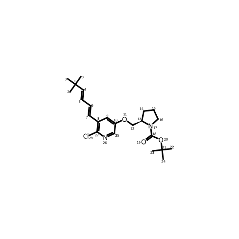 CC(C)(C)/C=C/C=C/c1cc(OC[C@H]2CCCN2C(=O)OC(C)(C)C)cnc1Cl